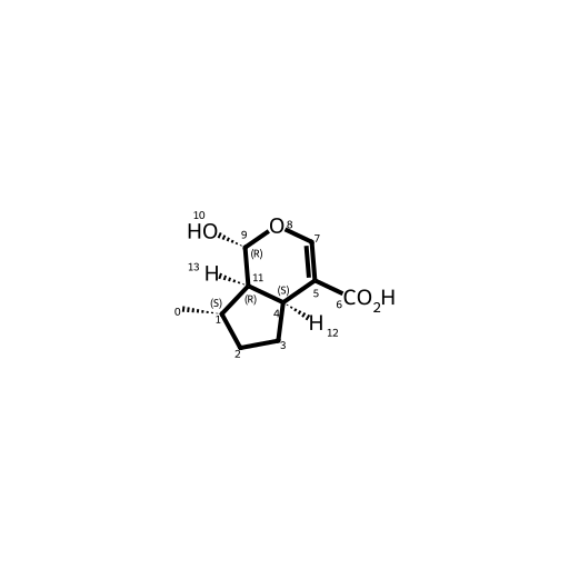 C[C@H]1CC[C@@H]2C(C(=O)O)=CO[C@@H](O)[C@@H]21